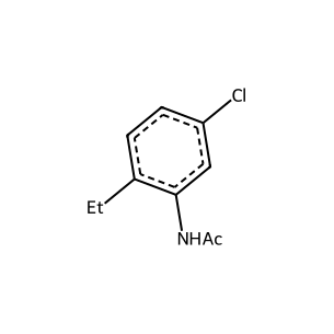 CCc1ccc(Cl)cc1NC(C)=O